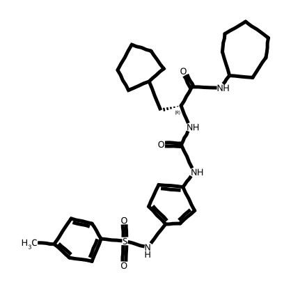 Cc1ccc(S(=O)(=O)Nc2ccc(NC(=O)N[C@H](CC3CCCCC3)C(=O)NC3CCCCCC3)cc2)cc1